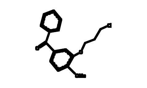 COc1ccc(C(=O)c2ccccc2)cc1OCCCCl